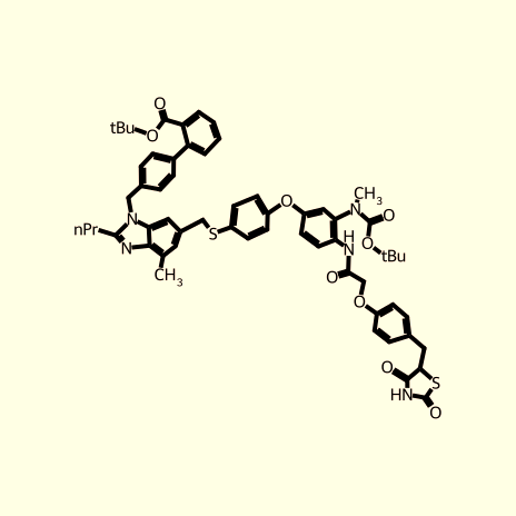 CCCc1nc2c(C)cc(CSc3ccc(Oc4ccc(NC(=O)COc5ccc(CC6SC(=O)NC6=O)cc5)c(N(C)C(=O)OC(C)(C)C)c4)cc3)cc2n1Cc1ccc(-c2ccccc2C(=O)OC(C)(C)C)cc1